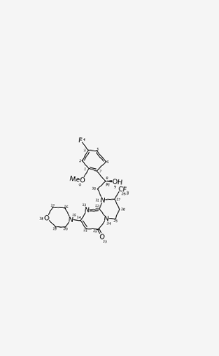 COc1cc(F)ccc1[C@@H](O)CN1c2nc(N3CCOCC3)cc(=O)n2CCC1C(F)(F)F